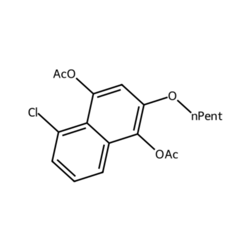 CCCCCOc1cc(OC(C)=O)c2c(Cl)cccc2c1OC(C)=O